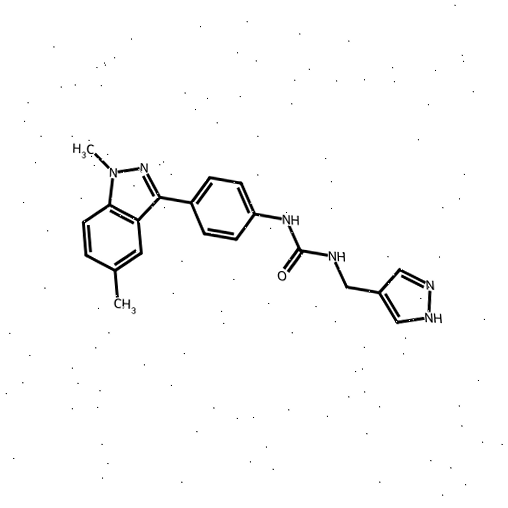 Cc1ccc2c(c1)c(-c1ccc(NC(=O)NCc3cn[nH]c3)cc1)nn2C